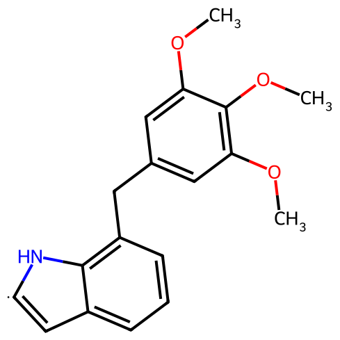 COc1cc(Cc2cccc3c[c][nH]c23)cc(OC)c1OC